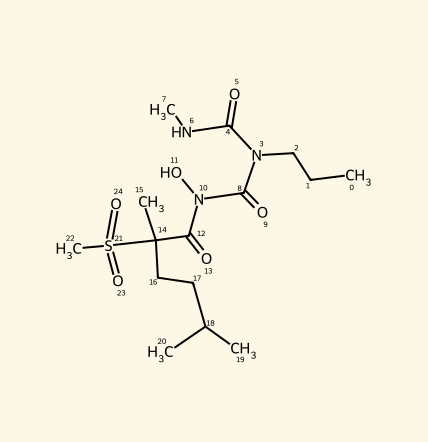 CCCN(C(=O)NC)C(=O)N(O)C(=O)C(C)(CCC(C)C)S(C)(=O)=O